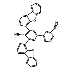 N#Cc1cccc(-c2cc(-c3cccc4c3sc3ccccc34)c(C#N)c(-c3cccc4c3sc3ccccc34)c2)c1